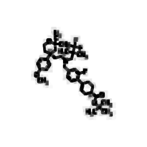 COc1ccc([C@]2(CCN(Cc3ccc(C4=CC[C@H](C(=O)OC(C)(C)C)CC4)c(F)c3)CC(C)(C)C(F)(F)F)CCOC(C)(C)C2)cc1